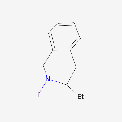 CCC1Cc2ccccc2CN1I